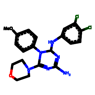 COc1ccc(N2C(N3CCOCC3)=NC(N)=NC2Nc2ccc(Cl)c(Cl)c2)cc1